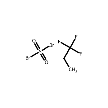 CCC(F)(F)F.O=S(=O)(Br)Br